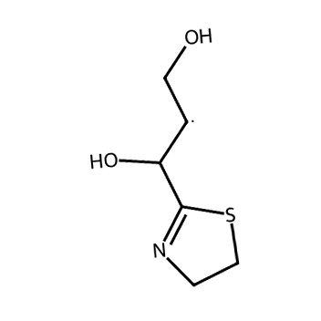 OC[CH]C(O)C1=NCCS1